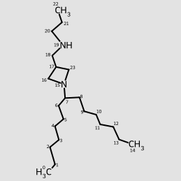 CCCCCCCC(CCCCCCC)N1CC(CNCCC)C1